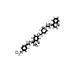 O=[N+]([O-])c1ccc(CCNc2ncnc3cc(OCC4CCN(CCNc5ccnc6ccccc56)CC4)ccc23)cc1